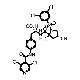 C[C@]1(C(=O)N[C@@H](Cc2ccc(NC(=O)c3c(Cl)cncc3Cl)cc2)C(=O)O)C[C@@H](C#N)CN1S(=O)(=O)c1cc(Cl)cc(Cl)c1